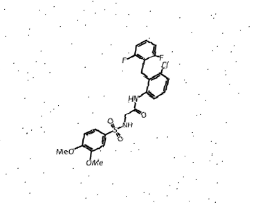 COc1ccc(S(=O)(=O)NCC(=O)Nc2cccc(Cl)c2Cc2c(F)cccc2F)cc1OC